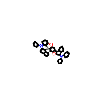 c1ccc(N2c3cccc4c3B(c3cc5oc6cc(N(c7ccccc7)c7ccccc7)c7ccccc7c6c5cc3O4)c3c2ccc2ccccc32)cc1